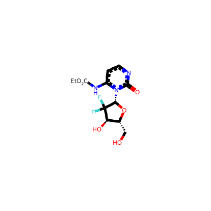 CCOC(=O)Nc1ccnc(=O)n1[C@@H]1O[C@H](CO)[C@@H](O)C1(F)F